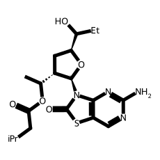 CCC(O)[C@@H]1C[C@@H](C(C)OC(=O)CC(C)C)[C@H](n2c(=O)sc3cnc(N)nc32)O1